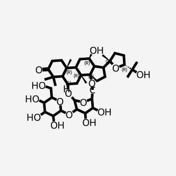 CC1(C)C(=O)CC[C@@]2(C)C1[C@@H]1C[C@]3(C)C2C[C@@H](O)C2C([C@]4(C)CC[C@H](C(C)(C)O)O4)CC[C@]23OCC2OC(O1)C(OC1OC(CO)C(O)C(O)C1O)C(O)C2O